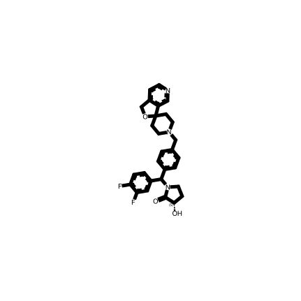 O=C1[C@@H](O)CCN1C(c1ccc(CN2CCC3(CC2)OCc2ccncc23)cc1)c1ccc(F)c(F)c1